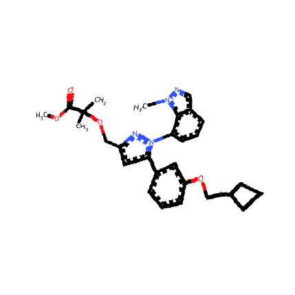 COC(=O)C(C)(C)OCc1cc(-c2cccc(OCC3CCC3)c2)n(-c2cccc3cnn(C)c23)n1